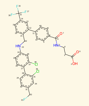 O=C(O)CCNC(=O)c1ccc(-c2cc(C(F)(F)F)ccc2CNc2ccc(-c3ccc(CF)cc3Cl)c(Cl)c2)cc1